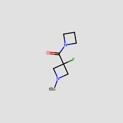 CC(C)(C)N1CC(F)(C(=O)N2CCC2)C1